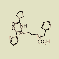 O=C(N[C@@H](CCCCN(Cc1ccccc1)C(=O)O)C(=O)c1ccccn1)C1CCCC1